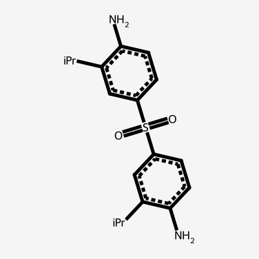 CC(C)c1cc(S(=O)(=O)c2ccc(N)c(C(C)C)c2)ccc1N